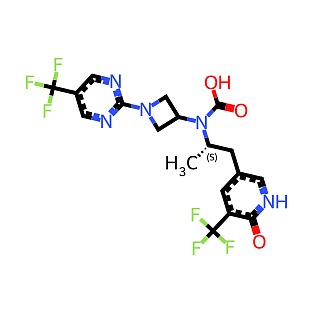 C[C@@H](Cc1c[nH]c(=O)c(C(F)(F)F)c1)N(C(=O)O)C1CN(c2ncc(C(F)(F)F)cn2)C1